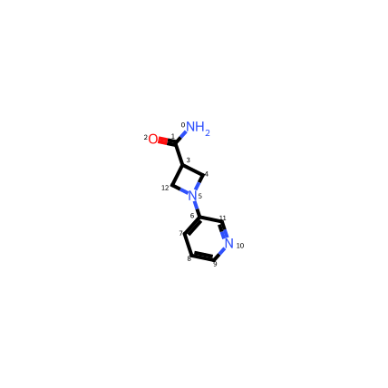 NC(=O)C1CN(c2cccnc2)C1